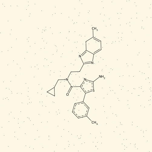 CC1=CC=C2N=C(CCN(CC3CC3)C(=O)c3nc(N)sc3-c3cccc(C)c3)N=C2C1